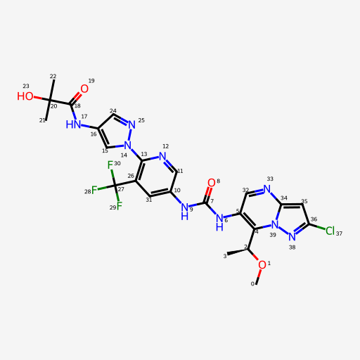 CO[C@@H](C)c1c(NC(=O)Nc2cnc(-n3cc(NC(=O)C(C)(C)O)cn3)c(C(F)(F)F)c2)cnc2cc(Cl)nn12